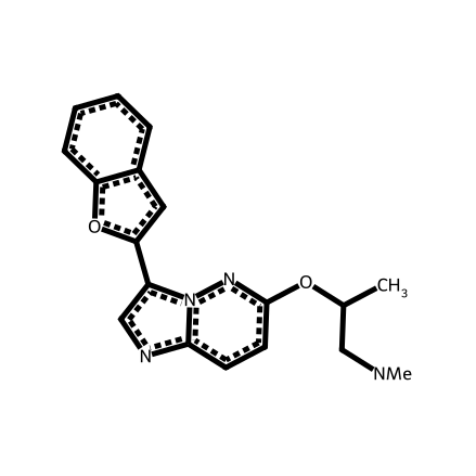 CNCC(C)Oc1ccc2ncc(-c3cc4ccccc4o3)n2n1